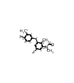 Cc1cc(Cc2cc(F)cc(N(C)C=O)c2C)ccc1F